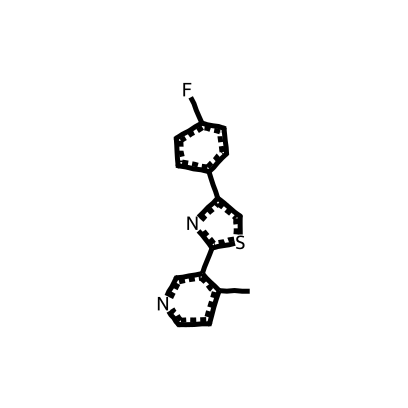 Cc1ccncc1-c1nc(-c2ccc(F)cc2)cs1